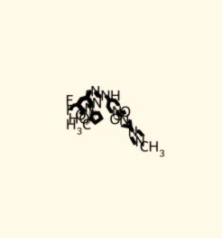 CN1CCN(C2CN(S(=O)(=O)N3CCC(Nc4ncc5cc(C(F)F)c(=O)n([C@@H]6CCC[C@@]6(C)O)c5n4)CC3)C2)CC1